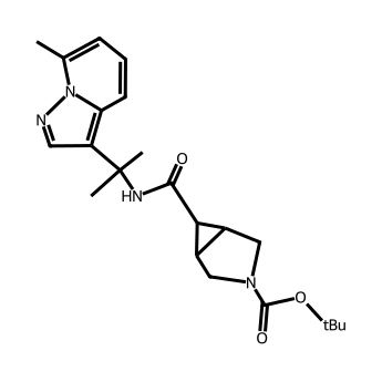 Cc1cccc2c(C(C)(C)NC(=O)C3C4CN(C(=O)OC(C)(C)C)CC43)cnn12